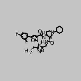 CCc1noc(CNC(=O)[C@@H]2CN(C3CCCCC3)CC[C@H]2NC(=O)c2cc(-c3ccc(F)cc3F)on2)n1